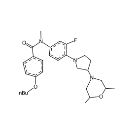 CCCCOc1ccc(C(=O)N(C)c2ccc(N3CCC(N4CC(C)OC(C)C4)C3)c(F)c2)cc1